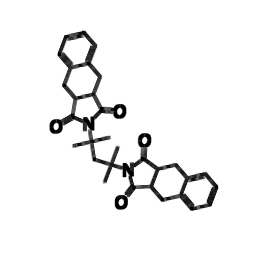 CC(C)(CC(C)(C)N1C(=O)C2Cc3ccccc3CC2C1=O)N1C(=O)C2Cc3ccccc3CC2C1=O